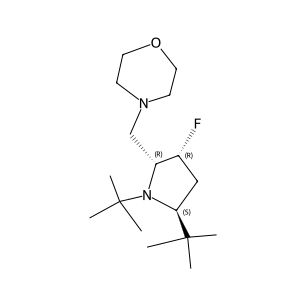 CC(C)(C)[C@@H]1C[C@@H](F)[C@@H](CN2CCOCC2)N1C(C)(C)C